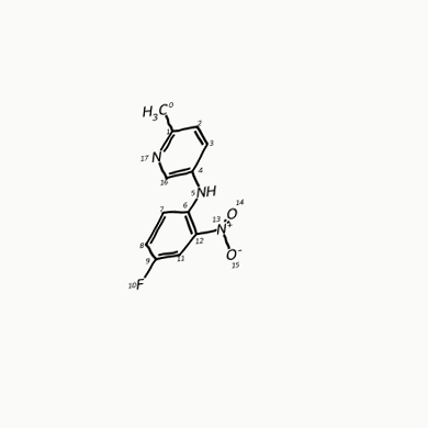 Cc1ccc(Nc2ccc(F)cc2[N+](=O)[O-])cn1